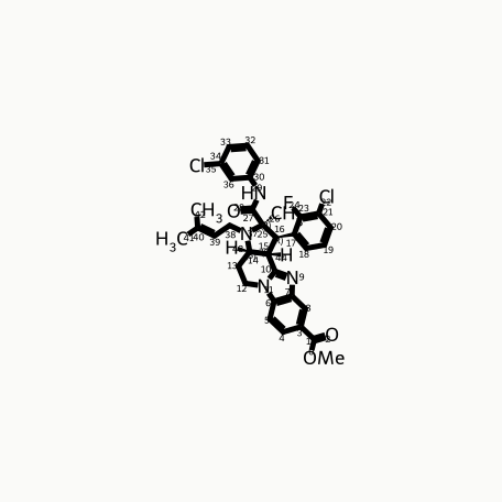 COC(=O)c1ccc2c(c1)nc1n2CC[C@H]2[C@@H]1[C@H](c1cccc(Cl)c1F)[C@](C)(C(=O)Nc1cccc(Cl)c1)N2CC=C(C)C